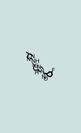 Cc1cnc(NC[C@@H]2CC[C@H]3CN(c4noc5ccc(F)cc45)CCN3C2)nc1